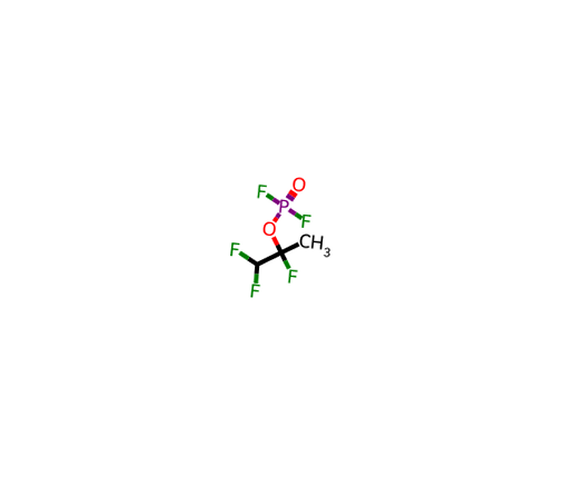 CC(F)(OP(=O)(F)F)C(F)F